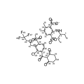 CCC(CC)Nc1c([N+](=O)[O-])cc(C)c(C)c1[N+](=O)[O-].CS(=O)(=O)c1ccc(C(=O)C2C(=O)CCCC2=O)c(Cl)c1COCC(F)(F)F